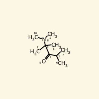 CC(C)C(=O)C(C)(C)N(C)C